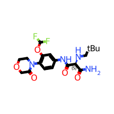 CC(C)(C)CN[C@@H](C(N)=O)C(=O)Nc1ccc(N2CCOCC2=O)c(OC(F)F)c1